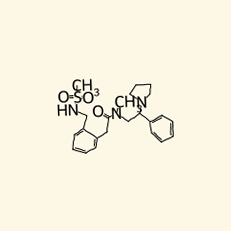 CN(CC(c1ccccc1)N1CCCC1)C(=O)Cc1ccccc1CNS(C)(=O)=O